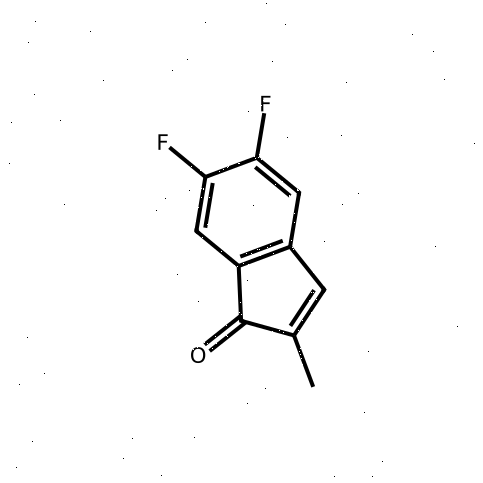 CC1=Cc2cc(F)c(F)cc2C1=O